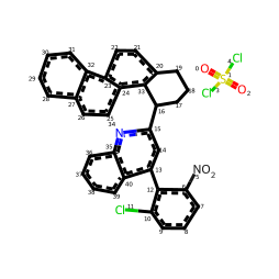 O=S(=O)(Cl)Cl.O=[N+]([O-])c1cccc(Cl)c1-c1cc(C2CCCc3ccc4c(ccc5ccccc54)c32)nc2ccccc12